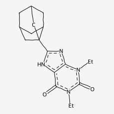 CCn1c(=O)c2[nH]c(C34CC5CC(CC3C5)C4)nc2n(CC)c1=O